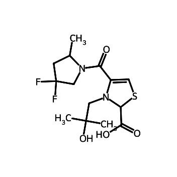 CC1CC(F)(F)CN1C(=O)C1=CSC(C(=O)O)N1CC(C)(C)O